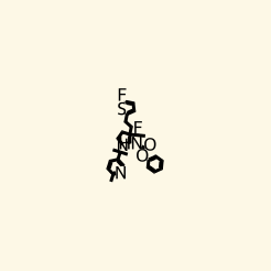 Cc1ccc(C(C)(C)N2CCC(CCc3ccc(F)s3)(C(C)(F)NC(=O)Oc3ccccc3)C2)cn1